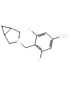 Nc1cc(F)c(CN2CC3CC3C2)c(F)c1